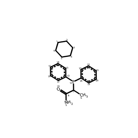 C1CCCCC1.CC(C(N)=O)P(c1ccccc1)c1ccccc1